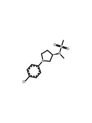 CN([C@@H]1CCN(c2ccc(Cl)cc2)C1)S(C)(=O)=O